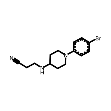 N#CCCNC1CCN(c2ccc(Br)cc2)CC1